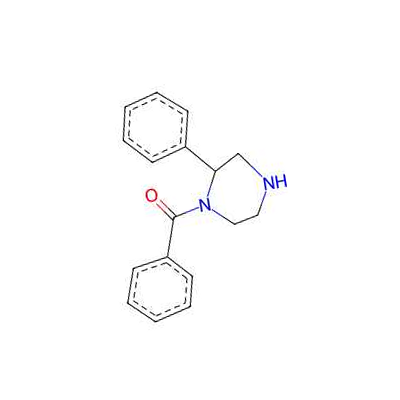 O=C(c1ccccc1)N1CCNCC1c1ccccc1